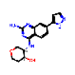 Nc1nc(N[C@H]2COCC[C@@H]2O)c2ccc(-c3ccn[nH]3)cc2n1